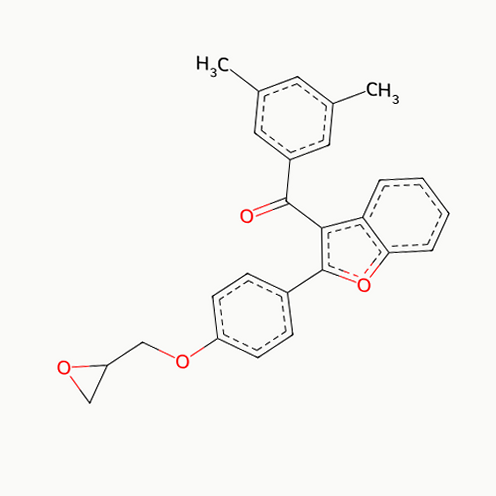 Cc1cc(C)cc(C(=O)c2c(-c3ccc(OCC4CO4)cc3)oc3ccccc23)c1